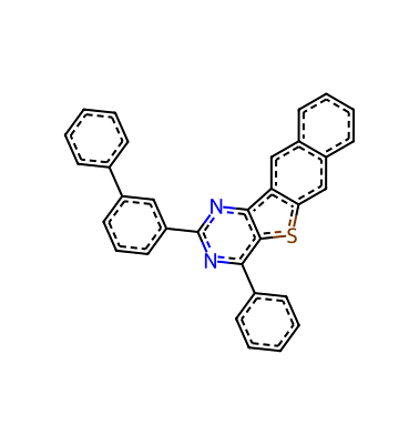 c1ccc(-c2cccc(-c3nc(-c4ccccc4)c4sc5cc6ccccc6cc5c4n3)c2)cc1